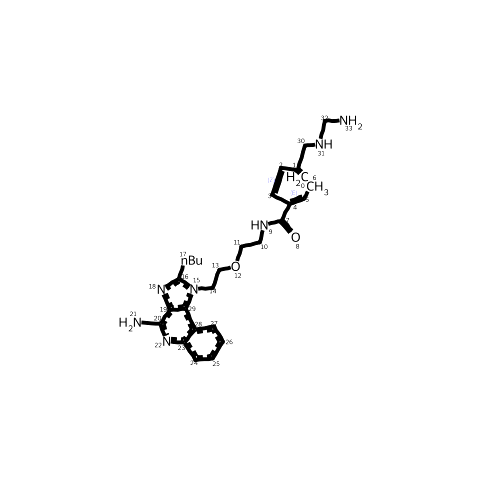 C=C(/C=C\C(=C/C)C(=O)NCCOCCn1c(CCCC)nc2c(N)nc3ccccc3c21)CNCN